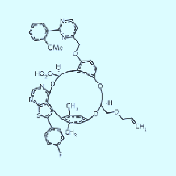 C=CCOC[C@@H]1COc2ccc(OCc3ccnc(-c4ccccc4OC)n3)c(c2)C[C@H](C(=O)O)Oc2ncnc3sc(-c4ccc(F)cc4)c(c23)-c2c(C)cc(cc2C)O1